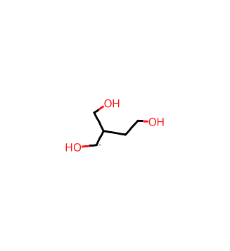 O[CH]C(CO)CCO